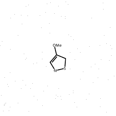 COC1=C[N]SC1